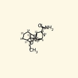 CCOC1(c2ccnc(C(N)=O)c2)C2CCCC1CNC2